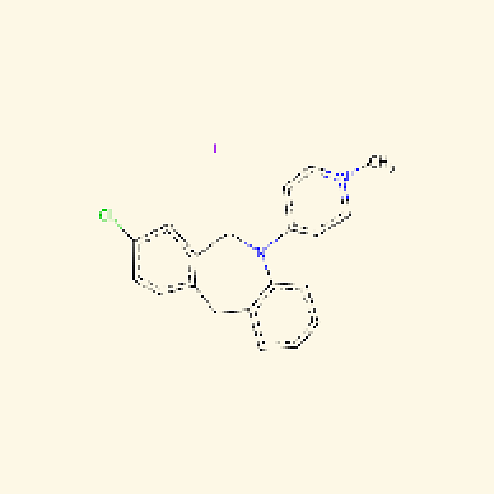 C[n+]1ccc(N2Cc3cc(Cl)ccc3Cc3ccccc32)cc1.[I-]